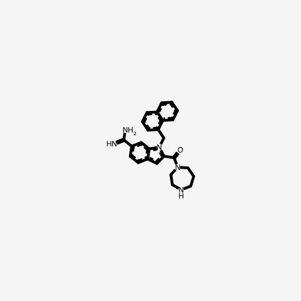 N=C(N)c1ccc2cc(C(=O)N3CCCNCC3)n(Cc3cccc4ccccc34)c2c1